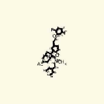 CC(=O)N1CC2CC(c3cccc(CCOc4cc(F)ccc4F)c3)=C(C(=O)N(C)CCc3ccccc3)C(C1)N2